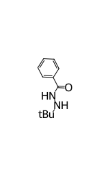 CC(C)(C)NNC(=O)c1ccccc1